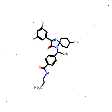 CC(c1ccc(C(=O)NCCC(=O)O)cc1)N1C(=O)C(c2cc(F)cc(F)c2)=NC12CCC(C(C)(C)C)CC2